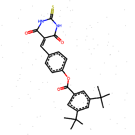 CC(C)(C)c1cc(C(=O)Oc2ccc(C=C3C(=O)NC(=S)NC3=O)cc2)cc(C(C)(C)C)c1